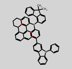 CC1(C)c2ccccc2-c2c(N(c3ccc(-c4ccc5c6ccccc6n(-c6ccccc6)c5c4)cc3)c3ccccc3-c3cccc4cccc(C5CCCCC5)c34)cccc21